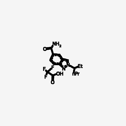 CCCC(CC)n1cc2cc(C(N)=O)ccc2n1.O=C(O)C(F)(F)F